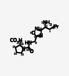 CC(C)CC(N)c1noc(CNC(=O)N2CCCC2C(=O)O)n1